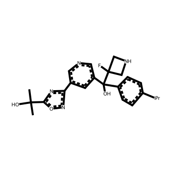 CC(C)c1ccc(C(O)(c2cncc(-c3noc(C(C)(C)O)n3)c2)C2(F)CNC2)cc1